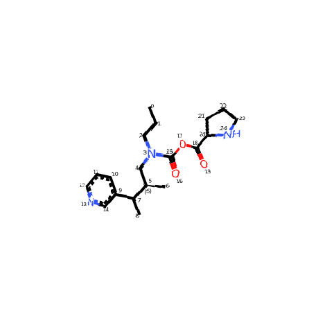 CCCN(C[C@@H](C)C(C)c1cccnc1)C(=O)OC(=O)C1CCCN1